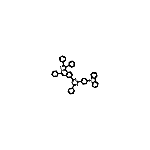 c1ccc(-c2nc(-c3ccc(-n4c5ccccc5c5ccccc54)cc3)nc(-c3ccc4c(c3)cc(-c3ccccc3)n3nc(-c5ccccc5)c(-c5ccccc5)c43)n2)cc1